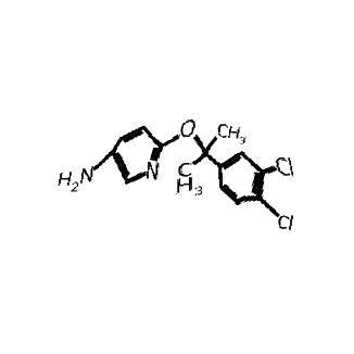 CC(C)(Oc1ccc(N)cn1)c1ccc(Cl)c(Cl)c1